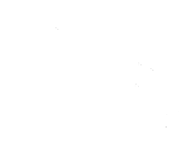 O=C(O)CSc1nnc(-c2ccc(-c3ccc4[nH]c(-c5ccccc5)cc4c3)o2)[nH]1